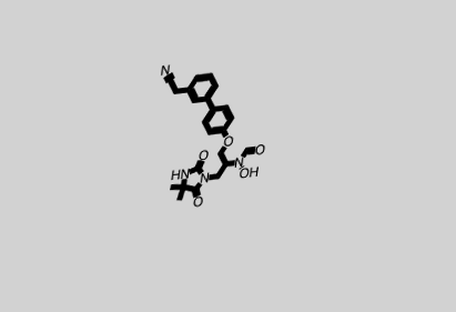 CC1(C)NC(=O)N(CC(COc2ccc(-c3cccc(CC#N)c3)cc2)N(O)C=O)C1=O